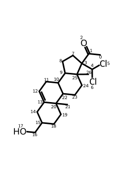 CC(=O)C1(C(Cl)Cl)CCC2C3CC=C4CC(CO)CCC4(C)C3CCC21C